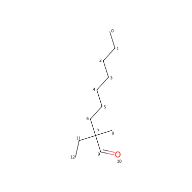 CCCCCCCC(C)(C=O)CC